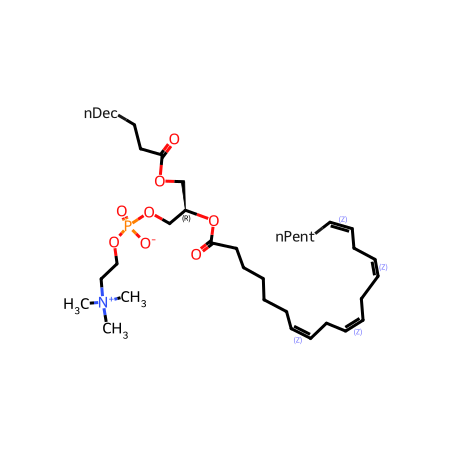 CCCCC/C=C\C/C=C\C/C=C\C/C=C\CCCCCC(=O)O[C@H](COC(=O)CCCCCCCCCCCC)COP(=O)([O-])OCC[N+](C)(C)C